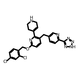 Clc1ccc(COc2ccc(Cc3ccc(-c4nn[nH]n4)nc3)c(C3=CCNCC3)n2)c(Cl)c1